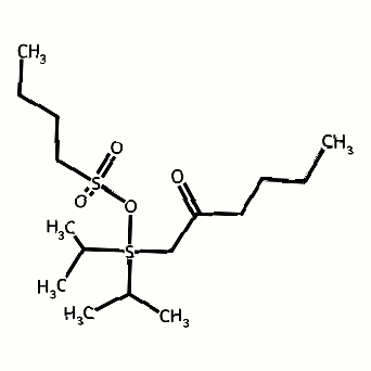 CCCCC(=O)CS(OS(=O)(=O)CCCC)(C(C)C)C(C)C